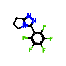 Fc1c(F)c(F)c(-c2nnc3n2CCC3)c(F)c1F